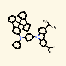 CC(C)c1ccc2c(c1)c1cc(C(C)C)ccc1n2-c1ccc(N(c2ccccc2)c2ccc3c(c2)C2(c4ccccc4-c4ccccc42)c2ccccc2-3)cc1